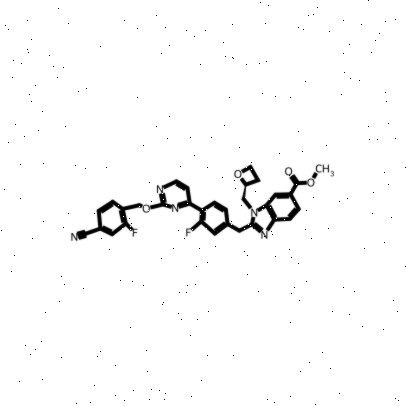 COC(=O)c1ccc2nc(Cc3ccc(-c4ccnc(OCc5ccc(C#N)cc5F)n4)c(F)c3)n(C[C@@H]3CCO3)c2c1